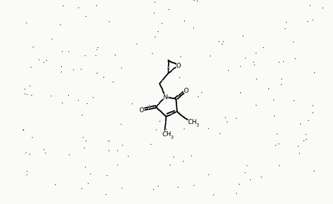 CC1=C(C)C(=O)N(CC2CO2)C1=O